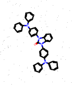 O=c1n(-c2ccc(N(c3ccccc3)c3ccccc3)cc2)c2ccccc2n1-c1ccc(N(c2ccccc2)c2ccccc2)cc1